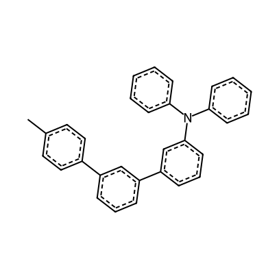 Cc1ccc(-c2cccc(-c3cccc(N(c4ccccc4)c4ccccc4)c3)c2)cc1